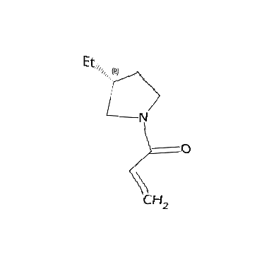 C=CC(=O)N1CC[C@@H](CC)C1